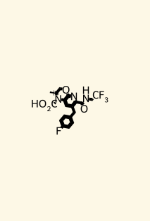 C[C@H]1COc2nc(C(=O)NCC(F)(F)F)c(Cc3ccc(F)cc3)cc2N1C(=O)O